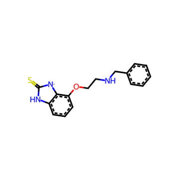 S=C1[N]c2c(cccc2OCCNCc2ccccc2)N1